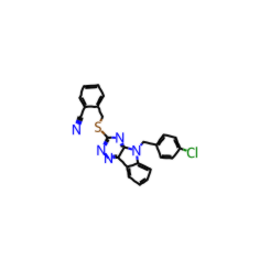 N#Cc1ccccc1CSc1nnc2c3ccccc3n(Cc3ccc(Cl)cc3)c2n1